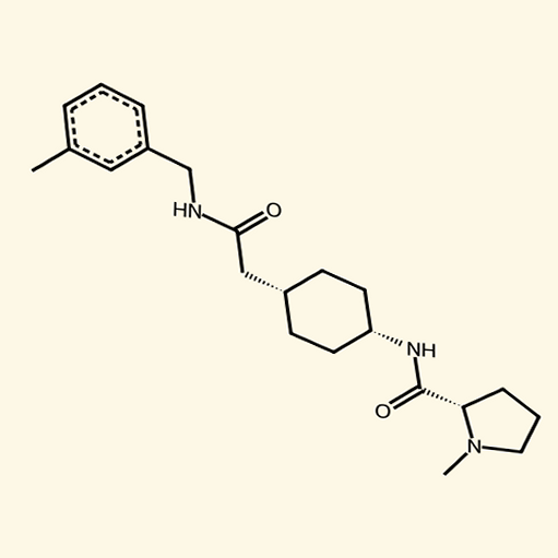 Cc1cccc(CNC(=O)C[C@H]2CC[C@@H](NC(=O)[C@@H]3CCCN3C)CC2)c1